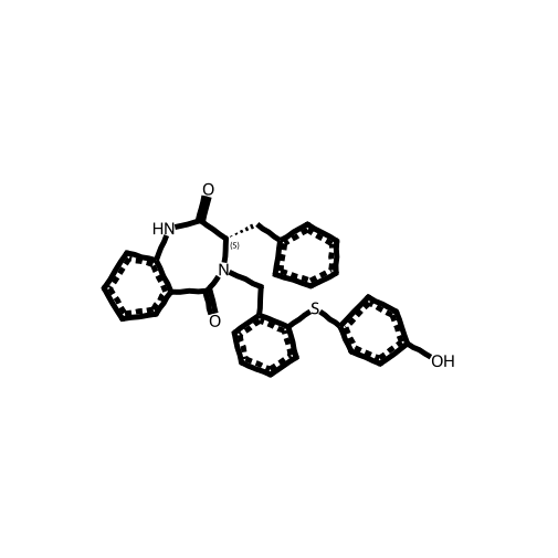 O=C1Nc2ccccc2C(=O)N(Cc2ccccc2Sc2ccc(O)cc2)[C@H]1Cc1ccccc1